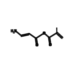 C=C(C)C(=O)OC(=O)C=CN